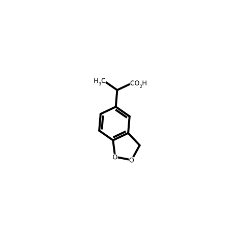 CC(C(=O)O)c1ccc2c(c1)COO2